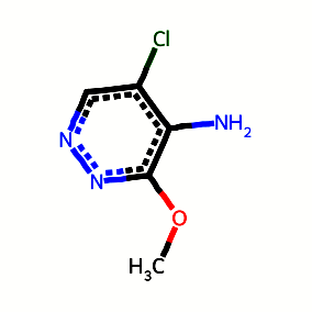 COc1nncc(Cl)c1N